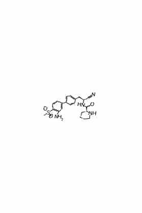 CS(=O)(=O)c1ccc(-c2ccc(C[C@@H](C#N)NC(=O)[C@@H]3CCCCN3)cc2)cc1N